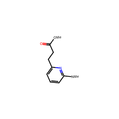 CNc1cccc(CCC(=O)OC)n1